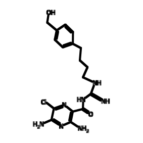 N=C(NCCCCc1ccc(CO)cc1)NC(=O)c1nc(Cl)c(N)nc1N